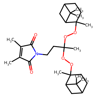 CC1=C(C)C(=O)N(CCC(C)(OOC2(C)CCC3CC2C3(C)C)OOC2(C)CCC3CC2C3(C)C)C1=O